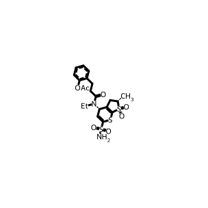 CCN(C(=O)CCc1ccccc1OC(C)=O)[C@H]1C=C(S(N)(=O)=O)SC2=C1C[C@H](C)S2(=O)=O